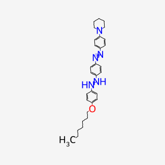 CCCCCCCOc1ccc(NNc2ccc(/N=N/c3ccc(N4CCCCC4)cc3)cc2)cc1